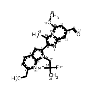 CCc1ccc2cc(-c3nc4cc(C=O)cc(OC)n4c3C)n(CC(C)(F)F)c2n1